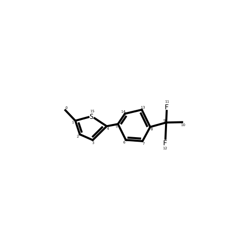 Cc1ccc(-c2ccc(C(C)(F)F)cc2)s1